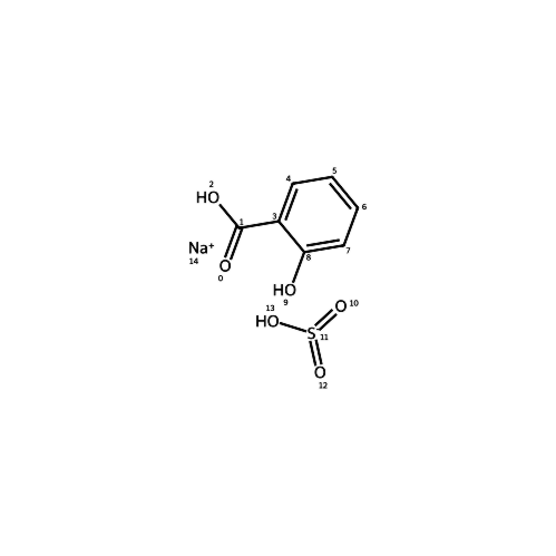 O=C(O)c1ccccc1O.O=[S-](=O)O.[Na+]